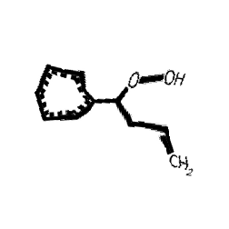 C=CCC(OO)c1ccccc1